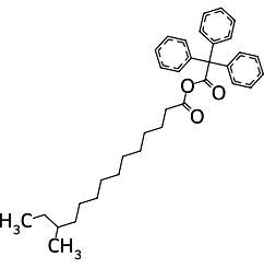 CCC(C)CCCCCCCCCCC(=O)OC(=O)C(c1ccccc1)(c1ccccc1)c1ccccc1